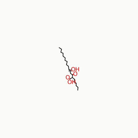 CCCCCCCCCCC[C@@H](O)CC(=O)C(CCCCCC)C(=O)O